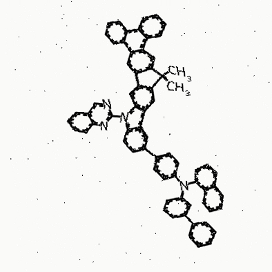 CC1(C)c2cc3c4ccccc4c4ccccc4c3cc2-c2cc3c(cc21)c1cc(-c2ccc(N(c4cccc(-c5ccccc5)c4)c4cccc5ccccc45)cc2)ccc1n3-c1ncc2ccccc2n1